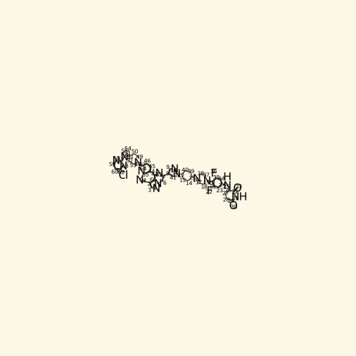 N#Cc1cnn2cc(-c3cnn([C@H]4CC[C@H](N5CCN(c6c(F)cc(NC7CCC(=O)NC7=O)cc6F)CC5)CC4)c3)nc(-c3ccc(N4CCC5(CC4)CCN5c4nccc(Cl)n4)nc3)c12